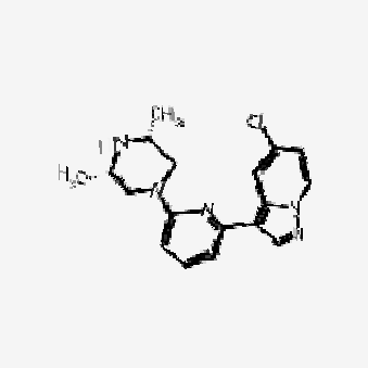 C[C@@H]1CN(c2cccc(-c3cnn4ccc(Cl)cc34)n2)C[C@H](C)N1